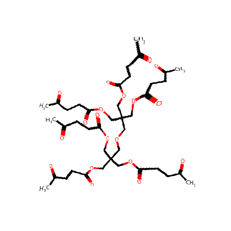 CC(=O)CCC(=O)OCC(COCC(COC(=O)CCC(C)=O)(COC(=O)CCC(C)=O)COC(=O)CCC(C)=O)(COC(=O)CCC(C)=O)COC(=O)CCC(C)=O